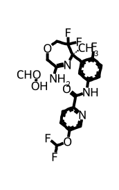 C[C@]1(c2cc(NC(=O)c3ccc(OC(F)F)cn3)ccc2F)N=C(N)COCC1(F)F.O=CO